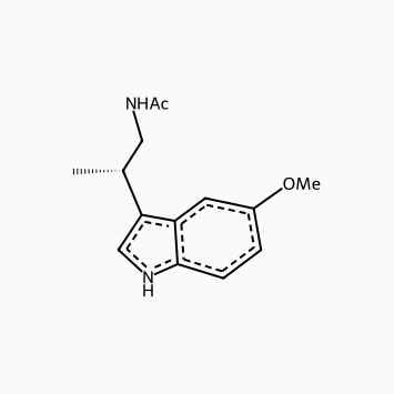 COc1ccc2[nH]cc([C@H](C)CNC(C)=O)c2c1